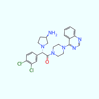 N[C@@H]1CCN([C@H](C(=O)N2CCN(c3ncnc4ccccc34)CC2)c2ccc(Cl)c(Cl)c2)C1